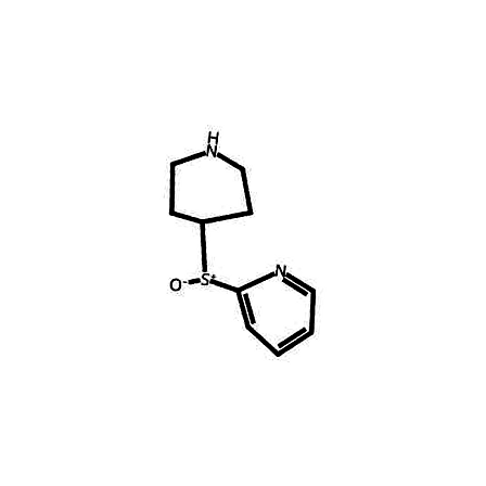 [O-][S+](c1ccccn1)C1CCNCC1